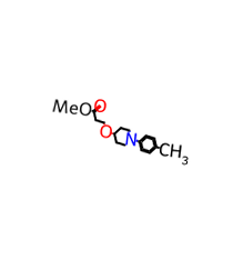 COC(=O)CCOC1CCN(c2ccc(C)cc2)CC1